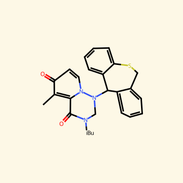 CCC(C)N1CN(C2c3ccccc3CSc3ccccc32)n2ccc(=O)c(C)c2C1=O